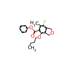 CCCCOc1c2c(c(F)c(C)c1C(=O)Oc1ccccc1)COC2